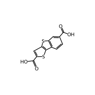 O=C(O)c1ccc2c(c1)sc1cc(C(=O)O)sc12